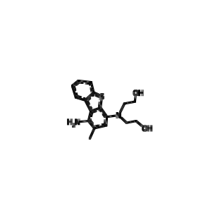 Cc1cc(N(CCO)CCO)c2sc3ccccc3c2c1N